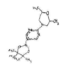 CC1CN(c2ncc(B3OC(C)(C)C(C)(C)O3)cn2)CC(C)O1